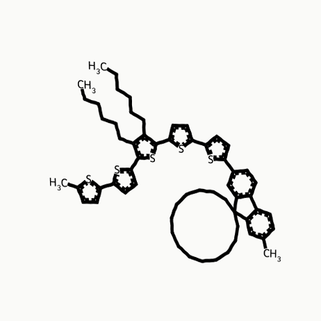 CCCCCCc1c(-c2ccc(-c3ccc(C)s3)s2)sc(-c2ccc(-c3ccc(-c4ccc5c(c4)C4(CCCCCCCCCCCCCC4)c4cc(C)ccc4-5)s3)s2)c1CCCCCC